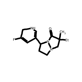 CCC1(C)CN2CCC(C3=CNCC(F)=C3)N2C1=O